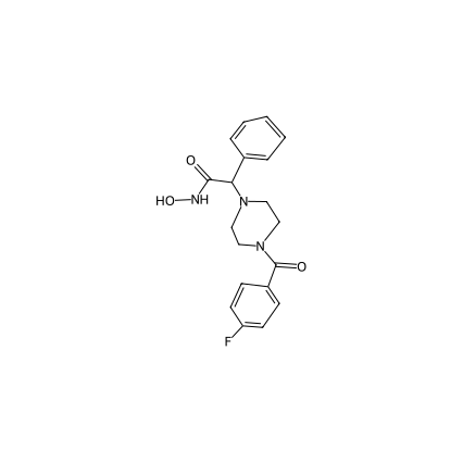 O=C(NO)C(c1ccccc1)N1CCN(C(=O)c2ccc(F)cc2)CC1